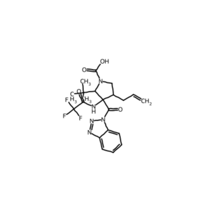 C=CCC1CN(C(=O)O)C(C(C)(C)C)C1(NC(=O)C(F)(F)F)C(=O)n1nnc2ccccc21